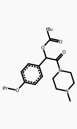 CC(C)Oc1ccc(C(OC(=O)C(C)(C)C)C(=O)N2CCN(C)CC2)cc1